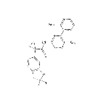 COc1ncccc1-c1nc(NC(=O)C2(c3ccc4c(c3)OC(F)(F)C4)CC2)ccc1C